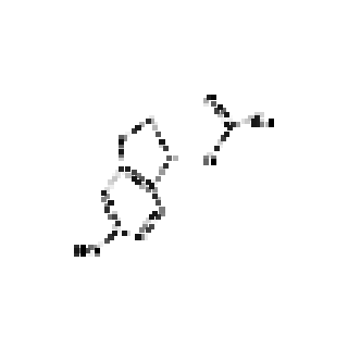 CCCCC(=O)OC1CCc2cc(O)ccc21